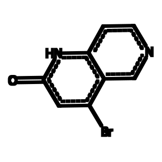 O=c1cc(Br)c2cnccc2[nH]1